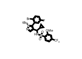 COc1cc(C(F)(F)F)ccc1S(=O)(=O)NC(c1cnn(C(C)(C)C)c1-c1cc(F)ccc1Br)C1CC1